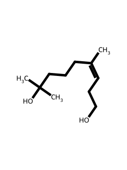 CC(=CCCO)CCCC(C)(C)O